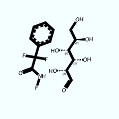 O=C(NF)C(F)(F)c1ccccc1.O=C[C@H](O)[C@@H](O)[C@H](O)[C@H](O)CO